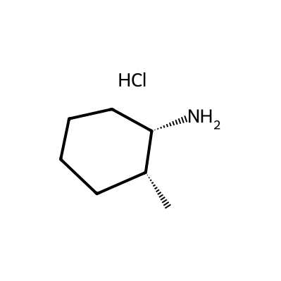 C[C@@H]1CCCC[C@@H]1N.Cl